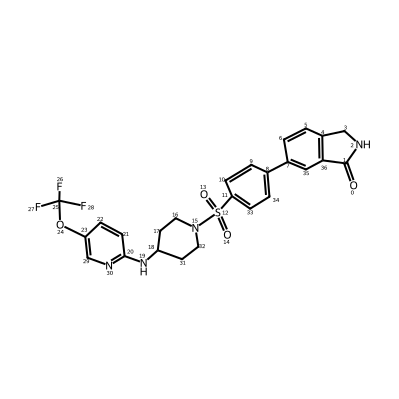 O=C1NCc2ccc(-c3ccc(S(=O)(=O)N4CCC(Nc5ccc(OC(F)(F)F)cn5)CC4)cc3)cc21